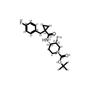 CC(C)(C)OC(=O)N1CC[C@H](NC(=O)C2(Cc3ccc(F)cc3)CC2)[C@@H](F)C1